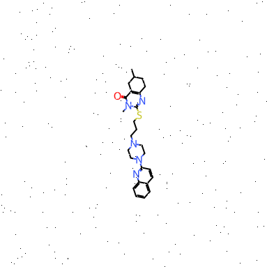 CC1CCc2nc(SCCCN3CCN(c4ccc5ccccc5n4)CC3)n(C)c(=O)c2C1